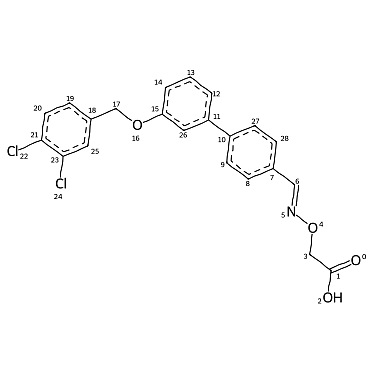 O=C(O)CON=Cc1ccc(-c2cccc(OCc3ccc(Cl)c(Cl)c3)c2)cc1